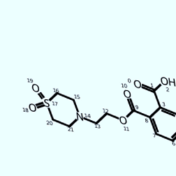 O=C(O)c1ccccc1C(=O)OCCN1CCS(=O)(=O)CC1